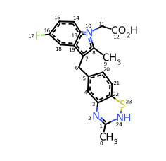 CC1=Nc2cc(Cc3c(C)n(CC(=O)O)c4ccc(F)cc34)ccc2SN1